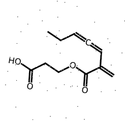 C=C(C=C=CCC)C(=O)OCCC(=O)O